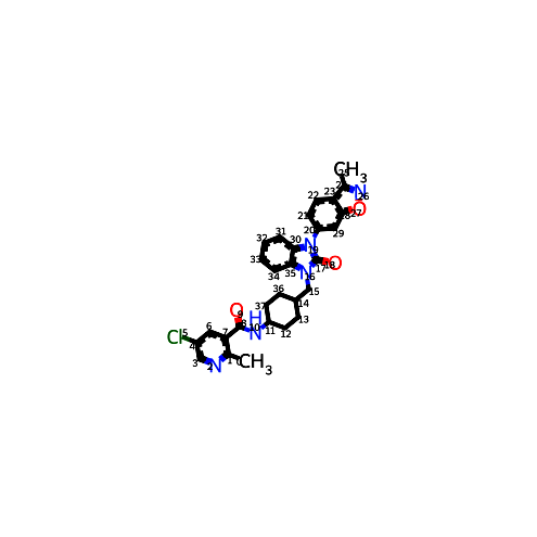 Cc1ncc(Cl)cc1C(=O)NC1CCC(Cn2c(=O)n(-c3ccc4c(C)noc4c3)c3ccccc32)CC1